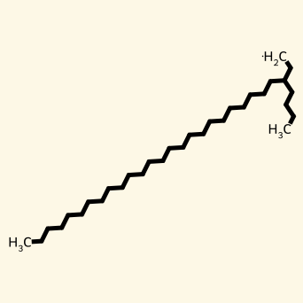 [CH2]CC(CCCC)CCCCCCCCCCCCCCCCCCCCCCCCC